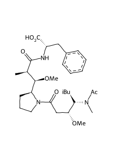 CC[C@H](C)[C@@H]([C@@H](CC(=O)N1CCC[C@H]1[C@H](OC)[C@@H](C)C(=O)N[C@@H](Cc1ccccc1)C(=O)O)OC)N(C)C(C)=O